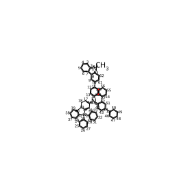 Cn1c2ccccc2c2cc(-c3ccc(N(C4=CCC5C(=C4)C(c4ccccc4)(c4ccccc4)c4ccccc45)c4ccc(-c5ccccc5)cc4-c4ccccc4)cc3)ccc21